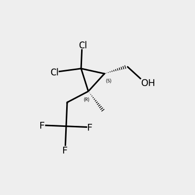 C[C@@]1(CC(F)(F)F)[C@@H](CO)C1(Cl)Cl